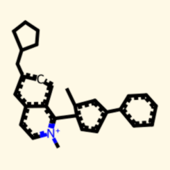 Cc1cc(-c2ccccc2)ccc1-c1c2ccc(CC3CCCC3)cc2cc[n+]1C